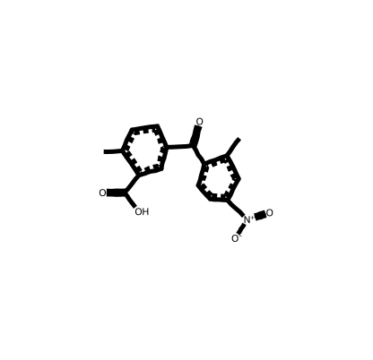 Cc1ccc(C(=O)c2ccc([N+](=O)[O-])cc2C)cc1C(=O)O